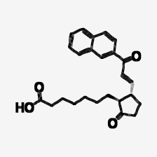 O=C(O)CCCCCC[C@@H]1C(=O)CC[C@H]1C=CC(=O)c1ccc2ccccc2c1